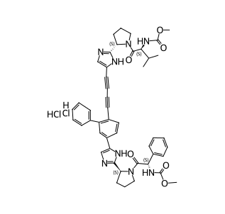 COC(=O)N[C@H](C(=O)N1CCC[C@H]1c1ncc(-c2ccc(C#CC#Cc3cnc([C@@H]4CCCN4C(=O)[C@@H](NC(=O)OC)C(C)C)[nH]3)c(-c3ccccc3)c2)[nH]1)c1ccccc1.Cl.Cl